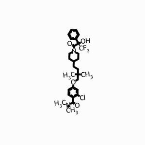 CN(C)C(=O)c1ccc(OCC(C)(C)CCC2CCN(C(=O)[C@@](O)(c3ccccc3)C(F)(F)F)CC2)cc1Cl